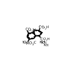 O=C(O)c1cc(C(=O)O)c2cc(C(=O)O)cc(C(=O)O)c2c1.[KH].[KH].[KH].[KH]